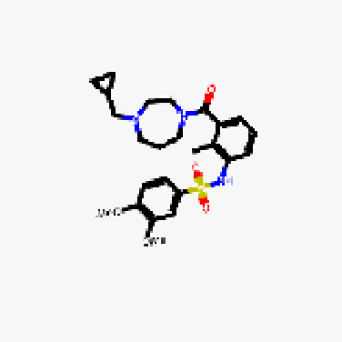 COc1ccc(S(=O)(=O)Nc2cccc(C(=O)N3CCCN(CC4CC4)CC3)c2C)cc1OC